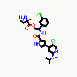 CC[C@](C)(N)C(=O)OCC(NC(=O)c1cc(-c2cc(NC(C)C)ncc2Cl)c[nH]1)c1cccc(Cl)c1